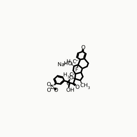 C[C@@H]1CC2C3CCC4=CC(=O)C=C[C@]4(C)[C@@]3(F)[C@@H](O)C[C@]2(C)[C@@]1(OC(=O)c1cccc(S(=O)(=O)[O-])c1)C(=O)CO.[Na+]